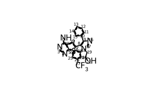 Nc1ncnc2sc(C3=C(c4ccccc4)N=C[N+]3(CCO)c3cccc(C(F)(F)F)c3)cc12